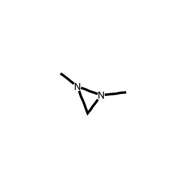 CN1CN1C